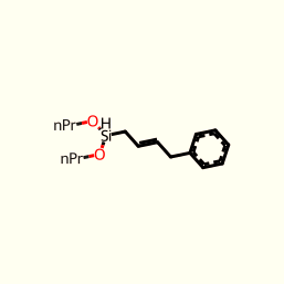 CCCO[SiH](CC=CCc1ccccc1)OCCC